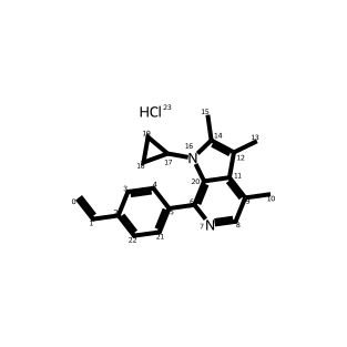 C=Cc1ccc(-c2ncc(C)c3c(C)c(C)n(C4CC4)c23)cc1.Cl